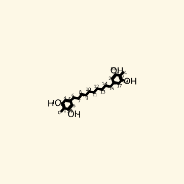 Cc1c(O)cc(CCCCCCCCCCc2cc(O)c(C)c(O)c2)cc1O